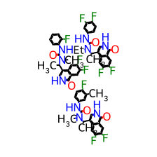 CC(c1c[nH]c(=O)c2cc(F)c(F)cc12)N(C)C(=O)Nc1ccccc1F.CCN(C(=O)Nc1ccc(F)c(F)c1)C(C)c1c[nH]c(=O)c2cc(F)c(F)cc12.Cc1cc(NC(=O)N(C)C(C)c2c[nH]c(=O)c3cc(F)c(F)cc23)ccc1F